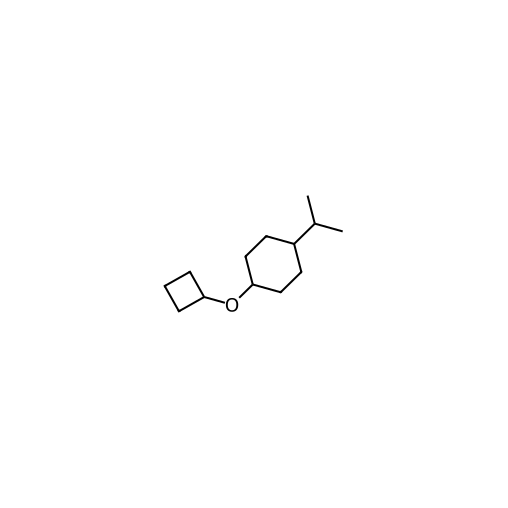 CC(C)C1CCC(OC2CCC2)CC1